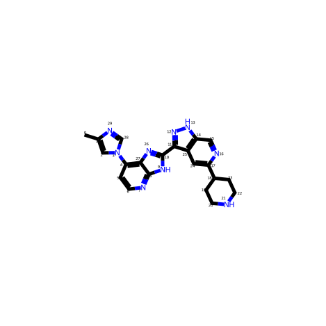 Cc1cn(-c2ccnc3[nH]c(-c4n[nH]c5cnc(C6CCNCC6)cc45)nc23)cn1